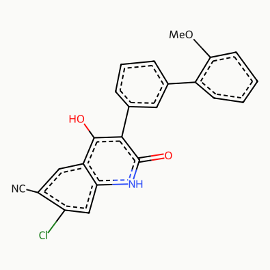 COc1ccccc1-c1cccc(-c2c(O)c3cc(C#N)c(Cl)cc3[nH]c2=O)c1